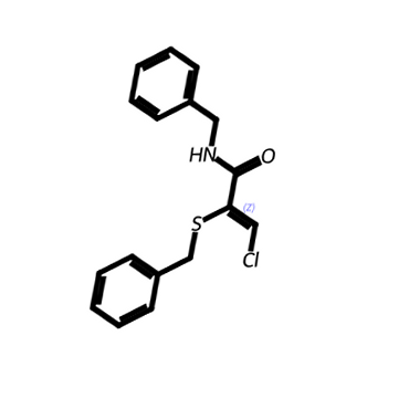 O=C(NCc1ccccc1)/C(=C/Cl)SCc1ccccc1